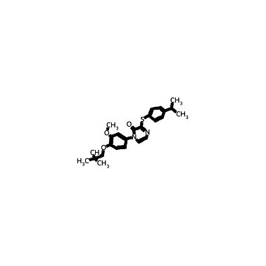 COc1cc(-n2ccnc(Sc3ccc(C(C)C)cc3)c2=O)ccc1OCC(C)(C)C